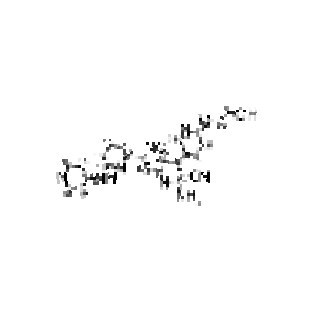 N#Cc1c(N)nc(SCc2cccc(Nc3ccncc3)n2)c(C#N)c1-c1ccc(OCCO)nc1